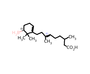 B[C@H]1CCC=C(CC/C(C)=C/CCC(C)CC(=O)O)C1(C)C